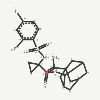 NC(=O)C12CC3CC(C1)C(NC(=O)C1(NS(=O)(=O)c4ccc(F)cc4F)CC1)C(C3)C2